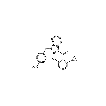 COc1ccc(Cn2nc(C(=O)c3c(Cl)cccc3C3CC3)c3cccnc32)cc1